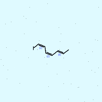 C/C=C/C=C\C=C/I